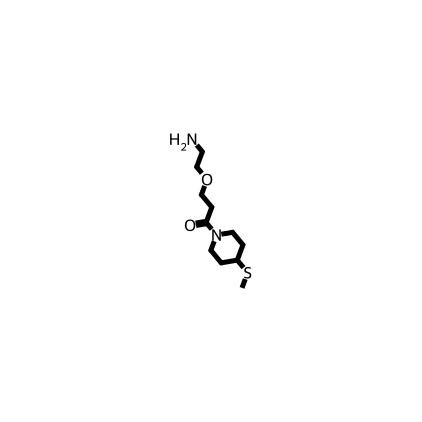 CSC1CCN(C(=O)CCOCCN)CC1